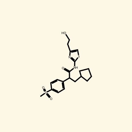 CS(=O)(=O)c1ccc(C(CC2CCCC2)C(=O)Nc2nc(CCO)cs2)cc1